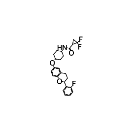 O=C(NC1CCC(Oc2ccc3c(c2)CCC(c2ccccc2F)O3)CC1)C1CC1(F)F